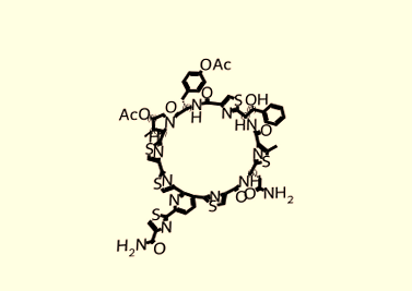 CC(=O)Oc1ccc(C[C@@H]2NC(=O)c3csc(n3)[C@H]([C@H](O)c3ccccc3)NC(=O)c3nc(sc3C)[C@H](CC(N)=O)NC(=O)c3csc(n3)-c3ccc(-c4nc(C(N)=O)cs4)nc3-c3csc(n3)-c3csc(n3)[C@@H]3[C@@H](C)[C@@H](OC(C)=O)CN3C2=O)cc1